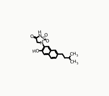 CC(C)CCc1ccc2cc(O)c(N3CC(=O)NS3(=O)=O)cc2c1